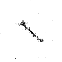 CC(C)(C)C(COCCOCCNC(=O)CCOCCOCCOCCOCCC(=O)NCCOCCOCCNC(=O)O)NC(=O)O